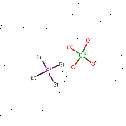 CC[P+](CC)(CC)CC.[O-][Cl+3]([O-])([O-])[O-]